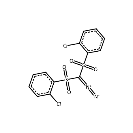 [N-]=[N+]=C(S(=O)(=O)c1ccccc1Cl)S(=O)(=O)c1ccccc1Cl